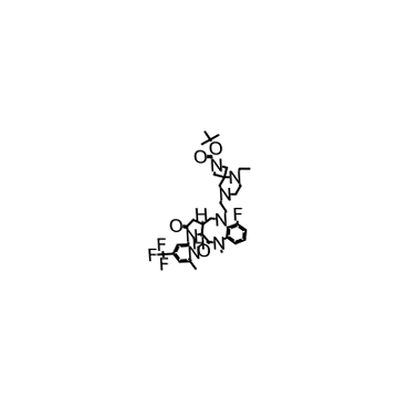 CCN1CCN(CCN2C[C@H]3CC(=O)N(c4cc(C(F)(F)F)cc(C)n4)[C@@H]3C(=O)N(C)c3cccc(F)c32)CC12CN(C(=O)OC(C)(C)C)C2